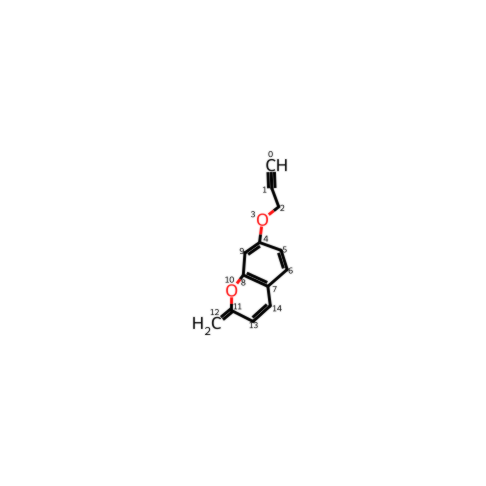 C#CCOc1ccc2c(c1)OC(=C)C=C2